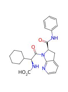 O=C(O)N[C@H](C(=O)N1c2ncccc2C[C@@H]1C(=O)Nc1ccccc1)C1CCCCC1